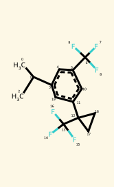 CC(C)c1cc(C(F)(F)F)cc(C2(C(F)(F)F)CC2)c1